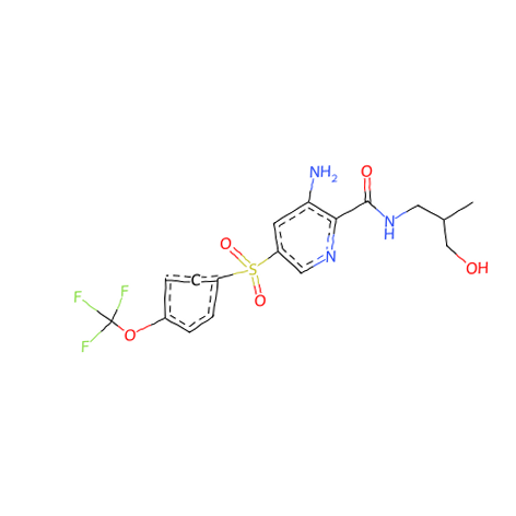 CC(CO)CNC(=O)c1ncc(S(=O)(=O)c2ccc(OC(F)(F)F)cc2)cc1N